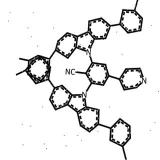 Cc1cccc(-c2ccc3c4ccc(-c5cccc(C)c5)cc4n(-c4cc(-c5ccncc5)cc(-n5c6cc(-c7cccc(C)c7)ccc6c6ccc(-c7cccc(C)c7)cc65)c4C#N)c3c2)c1